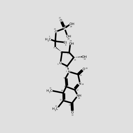 CCC(C)(C[C@H]1O[C@@H](n2cc3c(C)c(C)c(=O)[nH]c3nc2=O)[C@@H](O)C1O)OP(=O)(O)O